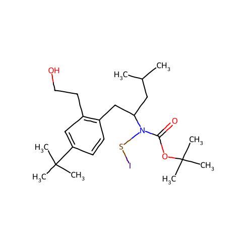 CC(C)CC(Cc1ccc(C(C)(C)C)cc1CCO)N(SI)C(=O)OC(C)(C)C